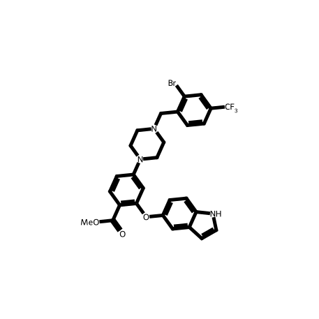 COC(=O)c1ccc(N2CCN(Cc3ccc(C(F)(F)F)cc3Br)CC2)cc1Oc1ccc2[nH]ccc2c1